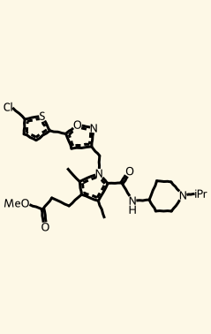 COC(=O)CCc1c(C)c(C(=O)NC2CCN(C(C)C)CC2)n(Cc2cc(-c3ccc(Cl)s3)on2)c1C